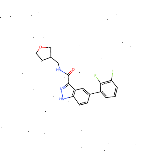 O=C(NCC1CCOC1)c1n[nH]c2ccc(-c3cccc(F)c3F)cc12